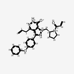 C=CCc1n[nH]c(=O)c2c1c(-c1ccc(Oc3ccccc3)cc1)nn2C[C@@H]1CCCN1C(=O)C=C